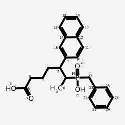 CC(C(CCCC(=O)O)c1ccc2ccccc2c1)P(=O)(O)Cc1ccccc1